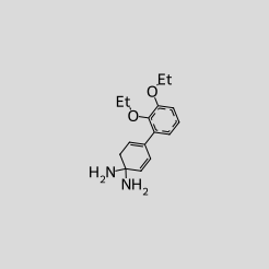 CCOc1cccc(C2=CCC(N)(N)C=C2)c1OCC